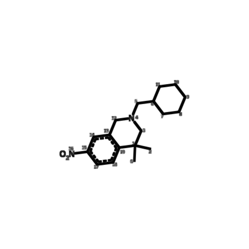 CC1(C)CN(CC2CCCCC2)Cc2cc([N+](=O)[O-])ccc21